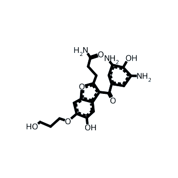 NC(=O)CCc1oc2cc(OCCCO)c(O)cc2c1C(=O)c1cc(N)c(O)c(N)c1